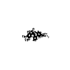 CCCC(N)(CCC)c1ccc(N/C(=C2\C(=O)Nc3cc(OCC)c(OCC)cc32)c2ccccc2)cc1